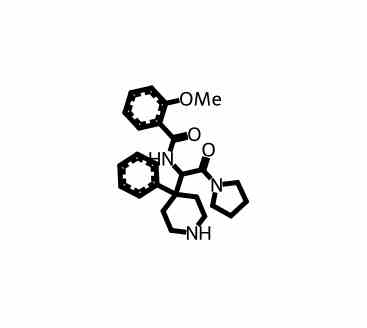 COc1ccccc1C(=O)NC(C(=O)N1CCCC1)C1(c2ccccc2)CCNCC1